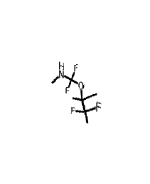 CNC(F)(F)OC(C)(C)C(C)(F)F